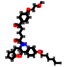 CCCCCCOc1ccc([C@@H](O)[C@@H](CC2CCCC2)NC(=O)CCCC(=O)c2ccc(OCCOC)cc2)cc1